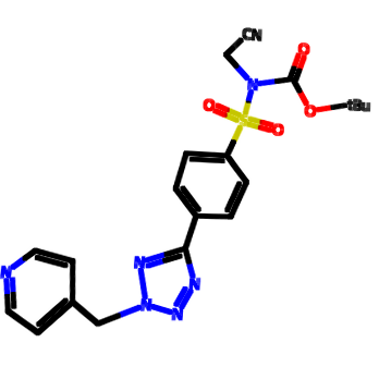 CC(C)(C)OC(=O)N(CC#N)S(=O)(=O)c1ccc(-c2nnn(Cc3ccncc3)n2)cc1